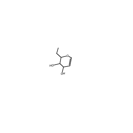 CCC1OC=CC(O)C1O